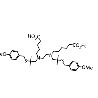 CCOC(=O)CCCCCN(CCN(CCCCC(=O)O)CC(C)(C)SCc1ccc(OC)cc1)CC(C)(C)SCc1ccc(OC)cc1